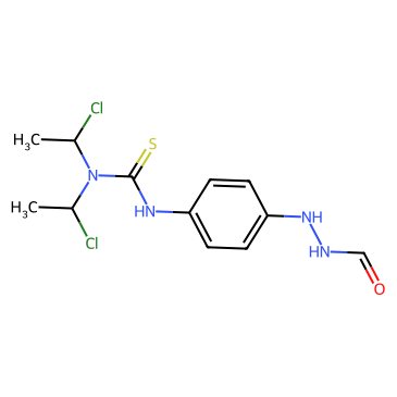 CC(Cl)N(C(=S)Nc1ccc(NNC=O)cc1)C(C)Cl